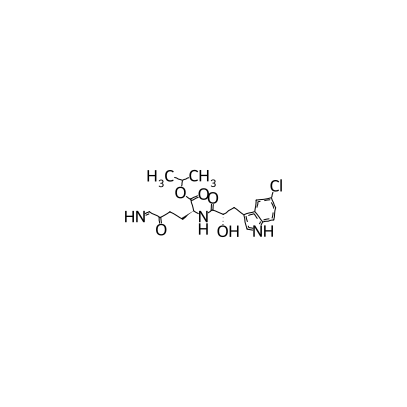 CC(C)OC(=O)[C@H](CCC(=O)C=N)NC(=O)[C@@H](O)Cc1c[nH]c2ccc(Cl)cc12